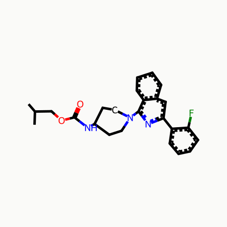 CC(C)COC(=O)NC1CCN(c2nc(-c3ccccc3F)cc3ccccc23)CC1